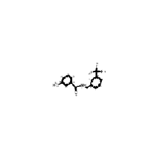 O=C(NCc1cccc(C(F)(F)F)c1)c1cccc(O)c1